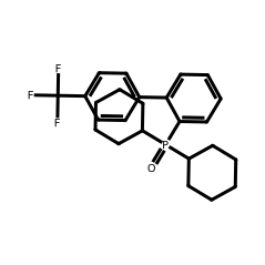 O=P(c1ccccc1-c1ccc(C(F)(F)F)cc1)(C1CCCCC1)C1CCCCC1